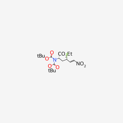 CCOC(=O)[C@H](CC(F)C=C[N+](=O)[O-])N(C(=O)OC(C)(C)C)C(=O)OC(C)(C)C